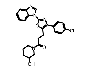 O=C(CCc1oc(-n2cnc3ccccc32)nc1-c1ccc(Cl)cc1)N1CCCC(O)C1